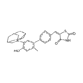 Cc1cc(O)c(C23CC4CC(CC(C4)C2)C3)cc1-c1ccc(C=C2SC(=O)NC2=O)cc1